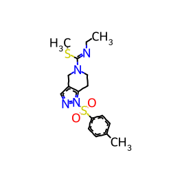 CCN=C(SC)N1CCc2c(cnn2S(=O)(=O)c2ccc(C)cc2)C1